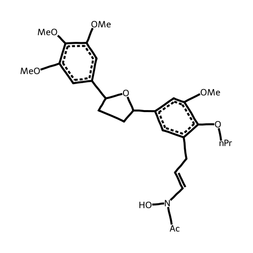 CCCOc1c(CC=CN(O)C(C)=O)cc(C2CCC(c3cc(OC)c(OC)c(OC)c3)O2)cc1OC